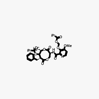 COc1ccnc(C(=O)N[C@H]2COC(=O)[C@H](Cc3ccccc3)C(OC(=O)C(C)C)[C@H](C)OC2=O)c1OCOC(=O)C(C)C